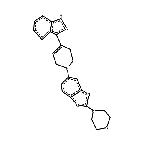 C1=C(c2n[nH]c3ccccc23)CCN(c2ccc3oc(N4CCOCC4)nc3c2)C1